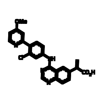 C=C(C(=O)O)c1ccc2ncnc(Nc3ccc(-c4cc(OC)ccn4)c(Cl)c3)c2c1